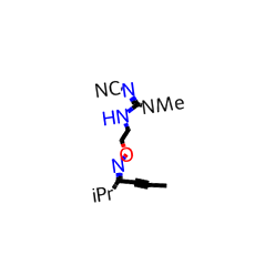 CC#C/C(=N\OCCN/C(=N\C#N)NC)C(C)C